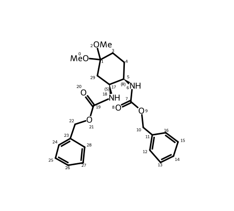 COC1(OC)CC[C@@H](NC(=O)OCc2ccccc2)[C@@H](NC(=O)OCc2ccccc2)C1